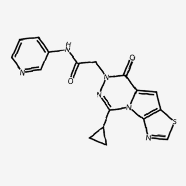 O=C(Cn1nc(C2CC2)n2c(cc3scnc32)c1=O)Nc1cccnc1